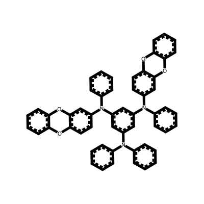 c1ccc(N(c2ccccc2)c2cc(N(c3ccccc3)c3ccc4c(c3)Oc3ccccc3O4)cc(N(c3ccccc3)c3ccc4c(c3)Oc3ccccc3O4)c2)cc1